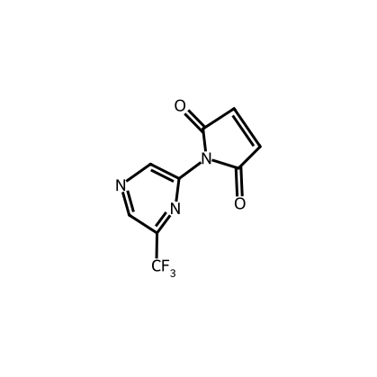 O=C1C=CC(=O)N1c1cncc(C(F)(F)F)n1